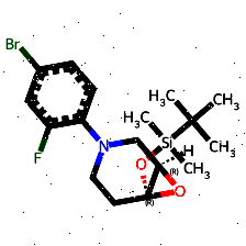 CC(C)(C)[Si](C)(C)O[C@]12CCN(c3ccc(Br)cc3F)C[C@H]1O2